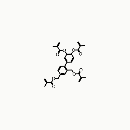 C=C(C)C(=O)OCc1ccc(-c2ccc(OC(=O)C(=C)C)c(OC(=O)C(=C)C)c2)c(COC(=O)C(=C)C)c1